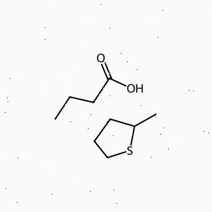 CC1CCCS1.CCCC(=O)O